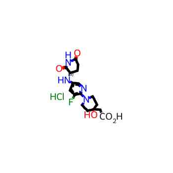 Cl.O=C(O)CC1(O)CCN(c2ncc(N[C@H]3CCC(=O)NC3=O)cc2F)CC1